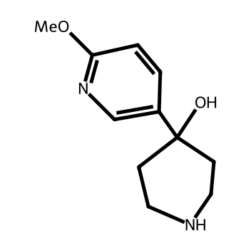 COc1ccc(C2(O)CCNCC2)cn1